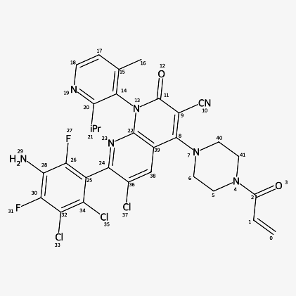 C=CC(=O)N1CCN(c2c(C#N)c(=O)n(-c3c(C)ccnc3C(C)C)c3nc(-c4c(F)c(N)c(F)c(Cl)c4Cl)c(Cl)cc23)CC1